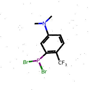 CN(C)c1ccc(C(F)(F)F)c(P(Br)Br)c1